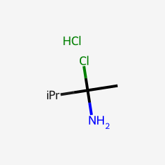 CC(C)C(C)(N)Cl.Cl